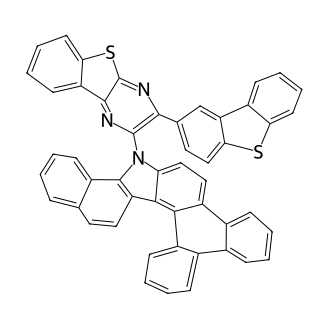 c1ccc2c(c1)ccc1c3c4c5ccccc5c5ccccc5c4ccc3n(-c3nc4c(nc3-c3ccc5sc6ccccc6c5c3)sc3ccccc34)c21